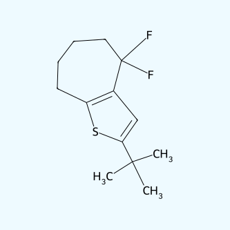 CC(C)(C)c1cc2c(s1)CCCCC2(F)F